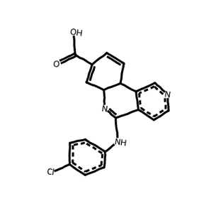 O=C(O)C1=CC2N=C(Nc3ccc(Cl)cc3)c3ccncc3C2C=C1